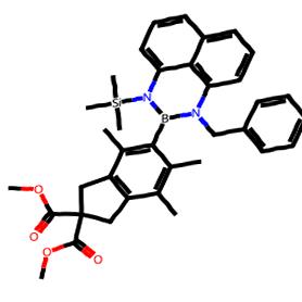 COC(=O)C1(C(=O)OC)Cc2c(C)c(C)c(B3N(Cc4ccccc4)c4cccc5cccc(c45)N3[Si](C)(C)C)c(C)c2C1